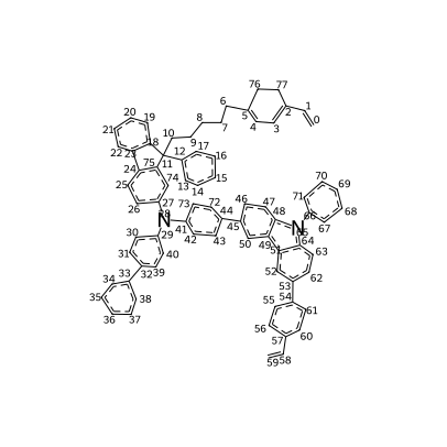 C=CC1=CC=C(CCCCCC2(c3ccccc3)c3ccccc3-c3ccc(N(c4ccc(-c5ccccc5)cc4)c4ccc(-c5ccc6c(c5)c5cc(-c7ccc(C=C)cc7)ccc5n6-c5ccccc5)cc4)cc32)CC1